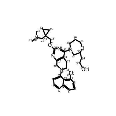 CCc1cccc2cccc(N3CCc4c(nc(OCC5(CN(C)C)CC5)nc4N4CCCOC(CCO)C4)C3)c12